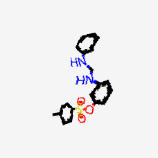 Cc1ccc(S(=O)(=O)Oc2cccc(NCNc3ccccc3)c2)cc1